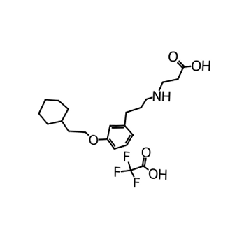 O=C(O)C(F)(F)F.O=C(O)CCNCCCc1cccc(OCCC2CCCCC2)c1